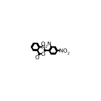 O=c1oc(-c2ccc([N+](=O)[O-])cc2[N+](=O)[O-])nc2ccccc12